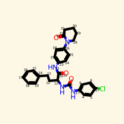 O=C(Nc1ccc(Cl)cc1)NC(CCc1ccccc1)C(=O)Nc1ccc(N2CCCCC2=O)cc1